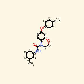 N#Cc1ccc(Oc2ccc3c(c2)OCCN3C(=O)Nc2cccc(C(F)(F)F)c2)cc1